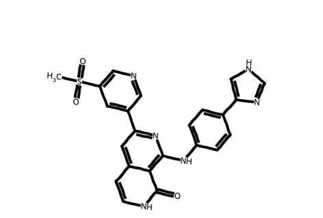 CS(=O)(=O)c1cncc(-c2cc3cc[nH]c(=O)c3c(Nc3ccc(-c4c[nH]cn4)cc3)n2)c1